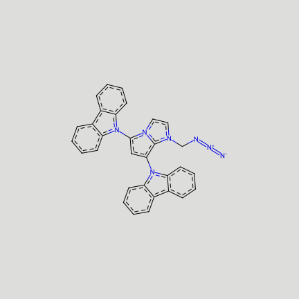 [N-]=[N+]=NCn1ccn2c(-n3c4ccccc4c4ccccc43)cc(-n3c4ccccc4c4ccccc43)c12